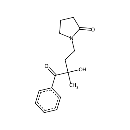 CC(O)(CCN1CCCC1=O)C(=O)c1ccccc1